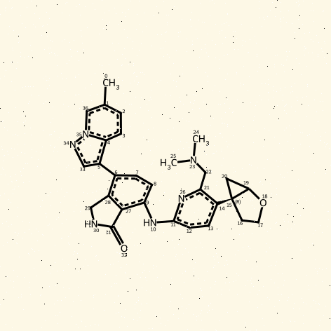 Cc1ccc2c(-c3ccc(Nc4ccc([C@]56CCOC5C6)c(CN(C)C)n4)c4c3CNC4=O)cnn2c1